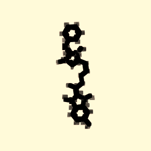 C/C(CC/C=C\c1cn(C)/c(=N/c2ccccc2)n1C)=C1\N(C)c2ccc(C)cc2N1C